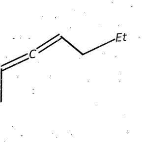 [CH2]CCC=C=CC